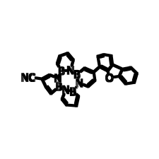 N#CC1=CN2B(C=C1)N1C=CC=CB1N1C=CC(c3cccc4c3oc3ccccc34)=CB1N1C=CC=CB12